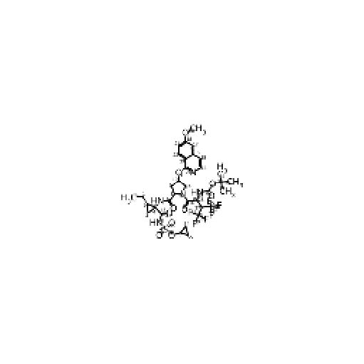 CC[C@@H]1C[C@]1(NC(=O)C1CC(Oc2nccc3cc(OC)ccc23)CN1C(=O)[C@@H](NC(=O)OC(C)(C)C)C(C(F)(F)F)C(F)(F)F)C(=O)NS(=O)(=O)OC1CC1